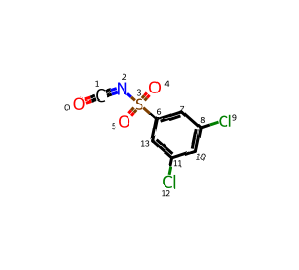 O=C=NS(=O)(=O)c1cc(Cl)cc(Cl)c1